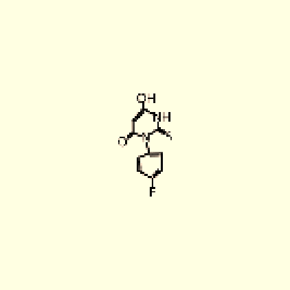 O=c1cc(O)[nH]c(=S)n1-c1ccc(F)cc1